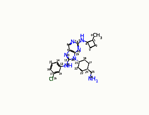 CC1CCC1Nc1ncc2nc(Nc3cccc(Cl)c3)n([C@H]3CC[C@H](CN)CC3)c2n1